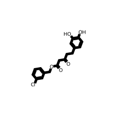 O=C(CCc1ccc(O)c(O)c1)CC(=O)OCc1cccc(Cl)c1